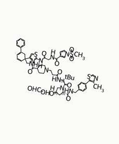 Cc1ncsc1-c1ccc(CNC(=O)[C@@H]2C[C@@H](O)CN2C(=O)[C@@H](NC(=O)CCN2CCC(C(=O)NCC3(c4csc(NC(=O)CNC(=O)c5ccn(S(C)(=O)=O)c5)n4)C=CC=C(c4ccccc4)C3)CC2)C(C)(C)C)cc1.O=CO